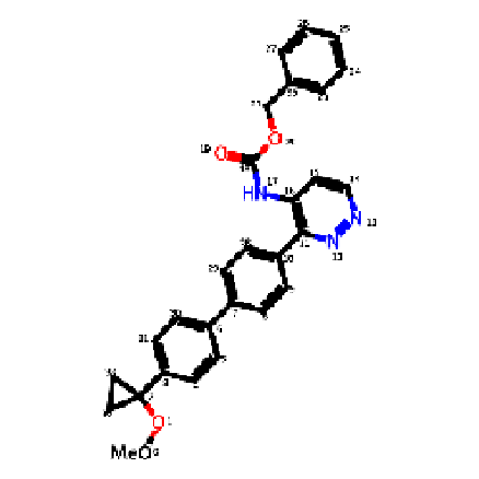 COOC1(c2ccc(-c3ccc(-c4nnccc4NC(=O)OCc4ccccc4)cc3)cc2)CC1